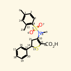 Cc1ccc(S(=O)(=O)N(C)C2=C(C(=O)O)SC(c3ccccc3)C2)c(C)c1